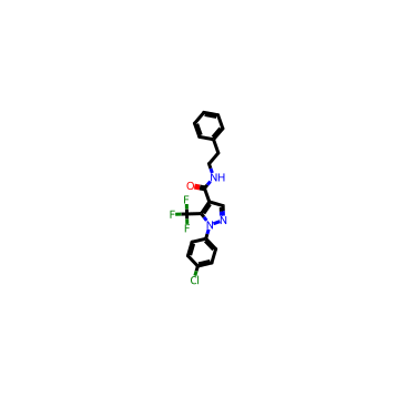 O=C(NCCc1ccccc1)c1cnn(-c2ccc(Cl)cc2)c1C(F)(F)F